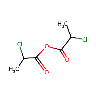 CC(Cl)C(=O)OC(=O)C(C)Cl